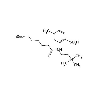 CCCCCCCCCCCCCCCC(=O)NCC[N+](C)(C)C.Cc1ccc(S(=O)(=O)O)cc1